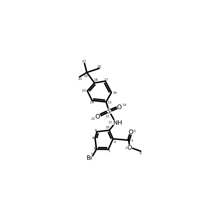 COC(=O)c1cc(Br)ccc1NS(=O)(=O)c1ccc(C(C)(C)C)cc1